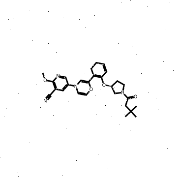 COc1ncc(N2C=COC(C3=C(O[C@H]4CCN(C(=O)CC(C)(C)C)C4)C=CCC3)=C2)cc1C#N